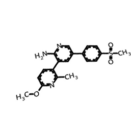 COc1ccc(-c2cc(-c3ccc(S(C)(=O)=O)cc3)cnc2N)c(C)n1